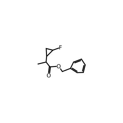 CC(C(=O)OCc1ccccc1)C1CC1F